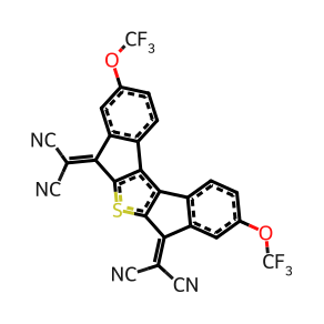 N#CC(C#N)=C1c2cc(OC(F)(F)F)ccc2-c2c1sc1c2-c2ccc(OC(F)(F)F)cc2C1=C(C#N)C#N